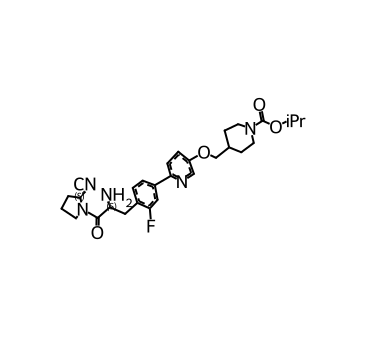 CC(C)OC(=O)N1CCC(COc2ccc(-c3ccc(C[C@H](N)C(=O)N4CCC[C@H]4C#N)c(F)c3)nc2)CC1